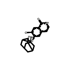 N[C@]12CC3CC(C1)[C@@H](Oc1cc4cc[nH]c(=O)c4cc1Cl)C(C3)C2